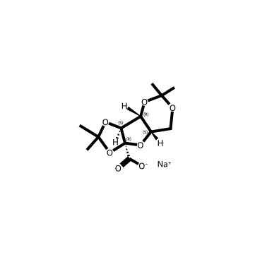 CC1(C)OC[C@@H]2O[C@@]3(C(=O)[O-])OC(C)(C)O[C@H]3[C@@H]2O1.[Na+]